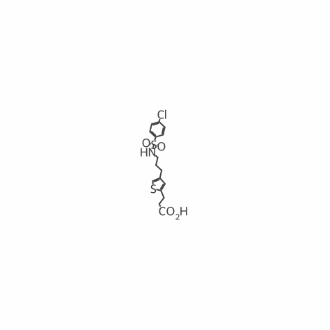 O=C(O)CCc1cc(CCCNS(=O)(=O)c2ccc(Cl)cc2)cs1